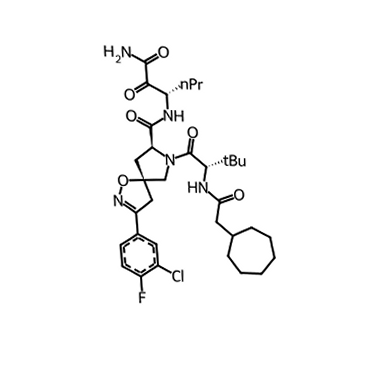 CCC[C@H](NC(=O)[C@@H]1C[C@]2(CC(c3ccc(F)c(Cl)c3)=NO2)CN1C(=O)[C@@H](NC(=O)CC1CCCCCC1)C(C)(C)C)C(=O)C(N)=O